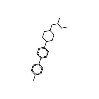 CCC(C)CC1CCC(c2ccc(-c3ccc(C)cc3)cc2)CC1